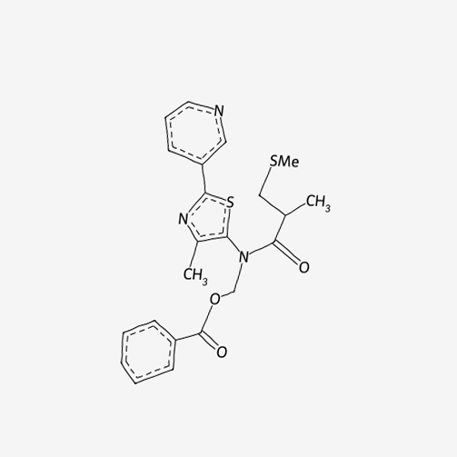 CSCC(C)C(=O)N(COC(=O)c1ccccc1)c1sc(-c2cccnc2)nc1C